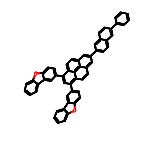 c1ccc(-c2ccc3cc(-c4cc5ccc6c(-c7ccc8oc9ccccc9c8c7)cc(-c7ccc8oc9ccccc9c8c7)c7ccc(c4)c5c67)ccc3c2)cc1